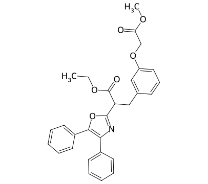 CCOC(=O)C(Cc1cccc(OCC(=O)OC)c1)c1nc(-c2ccccc2)c(-c2ccccc2)o1